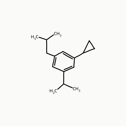 [CH2]C(C)c1cc(CC(C)C)cc(C2CC2)c1